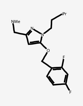 CNCc1cc(OCc2ccc(F)cc2F)n(CCC(C)C)n1